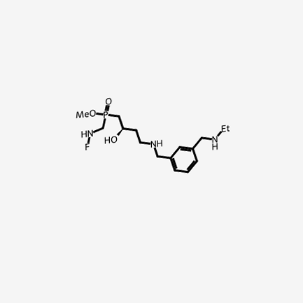 CCNCc1cccc(CNCC[C@@H](O)CP(=O)(CNF)OC)c1